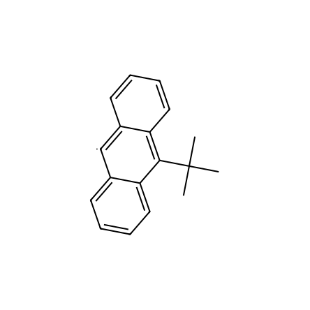 CC(C)(C)c1c2ccccc2[c]c2ccccc12